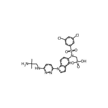 CC(C)(N)CNc1ccc(-n2ccc3cc(N(CP(=O)(O)O)S(=O)(=O)c4cc(Cl)cc(Cl)c4)ccc32)nn1